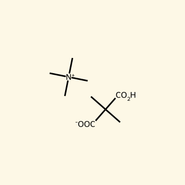 CC(C)(C(=O)[O-])C(=O)O.C[N+](C)(C)C